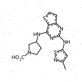 Cc1cc(Nc2nc(NC3CCN(C(=O)O)C3)c3sccc3n2)sn1